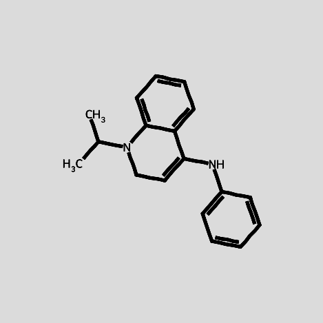 CC(C)N1CC=C(Nc2ccccc2)c2ccccc21